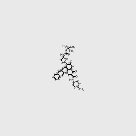 CN1CCN(NC(=O)c2cn3c4c(c(N5CCC(NC(=O)OC(C)(C)C)C5)c(F)cc4c2=O)Oc2cc4ccccc4cc2-3)CC1